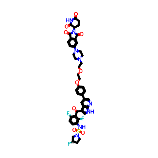 O=C1CCC(N2C(=O)c3ccc(N4CCN(CCOCCOc5ccc(-c6cnc7[nH]cc(C(=O)c8c(F)ccc(NS(=O)(=O)N9CC[C@@H](F)C9)c8F)c7c6)cc5)CC4)cc3C2=O)C(=O)N1